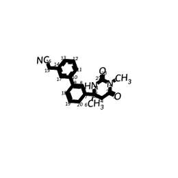 CN1C(=O)C[C@@](C)(C2C=C(c3cccc(CC#N)c3)C=CC2)NC1=O